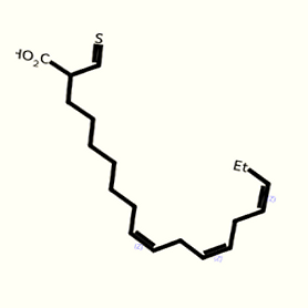 CC/C=C\C/C=C\C/C=C\CCCCCCC(C=S)C(=O)O